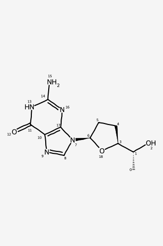 C[C@@H](O)[C@@H]1CC[C@H](n2cnc3c(=O)[nH]c(N)nc32)O1